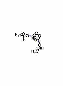 C=CC(=O)Nc1ccc(/C=C/c2cc3ccccc3c3c2OCOc2c(/C=C/c4ccc(NC(=O)C=C)cc4)cc4ccccc4c2-3)cc1